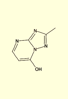 Cc1nc2nccc(O)n2n1